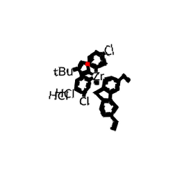 C=Cc1ccc2c(c1)-c1cc(C=C)c[c]([Zr](=[CH2])([C]3=CC(C(C)(C)C)=CC3C)([c]3cccc(Cl)c3)[c]3cccc(Cl)c3)c1C2.Cl.Cl